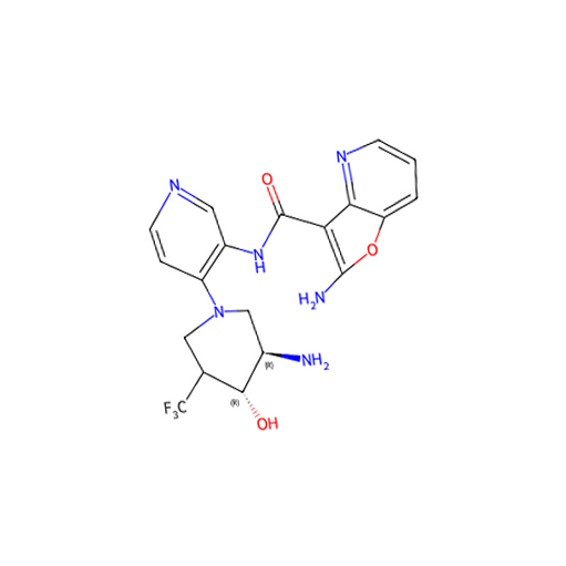 Nc1oc2cccnc2c1C(=O)Nc1cnccc1N1CC(C(F)(F)F)[C@@H](O)[C@H](N)C1